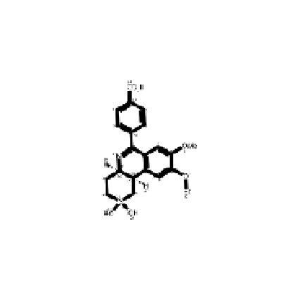 CCOc1cc2c(cc1OC)C(c1ccc(C(=O)O)cc1)=N[C@@H]1CCS(O)(O)C[C@H]21